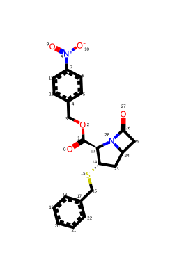 O=C(OCc1ccc([N+](=O)[O-])cc1)[C@@H]1[C@@H](SCc2ccccc2)CC2CC(=O)N21